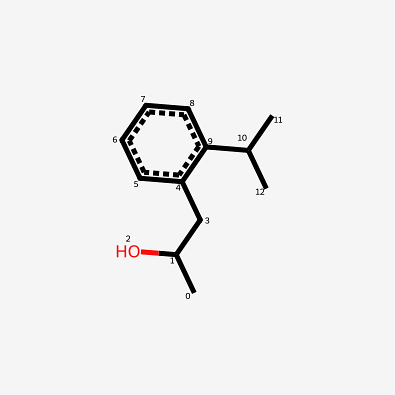 CC(O)Cc1ccccc1C(C)C